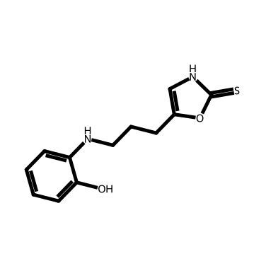 Oc1ccccc1NCCCc1c[nH]c(=S)o1